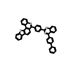 c1ccc(-c2ccc(-c3nc(-c4ccc(-c5nc6ccccc6c6c5ccc5c7ccccc7sc56)cc4)nc4ccccc34)cc2)cc1